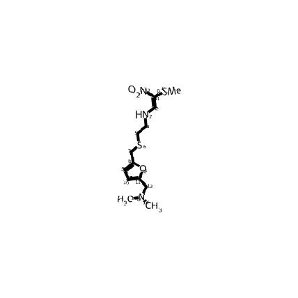 CSC(=CNCCSCc1ccc(CN(C)C)o1)[N+](=O)[O-]